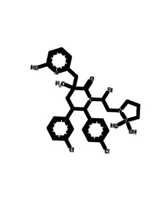 CCC(CN1CCCS1(O)O)N1C(=O)C(C)(Cc2cccc(O)n2)CC(c2cccc(Cl)c2)C1c1ccc(Cl)cc1